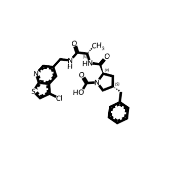 C[C@H](NC(=O)[C@H]1C[C@H](Cc2ccccc2)CN1C(=O)O)C(=O)NCc1cnc2scc(Cl)c2c1